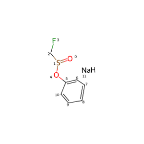 O=S(CF)Oc1ccccc1.[NaH]